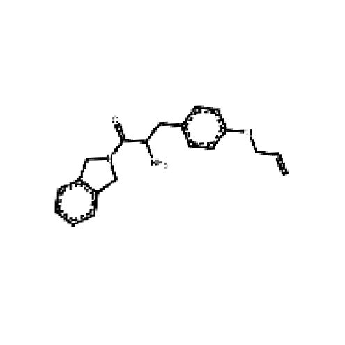 C=CCOc1ccc(CC(N)C(=O)N2Cc3ccccc3C2)cc1